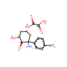 NC1(c2ccc(C(F)(F)F)cc2)CCCC(O)C1=O.O=C(O)C(=O)O